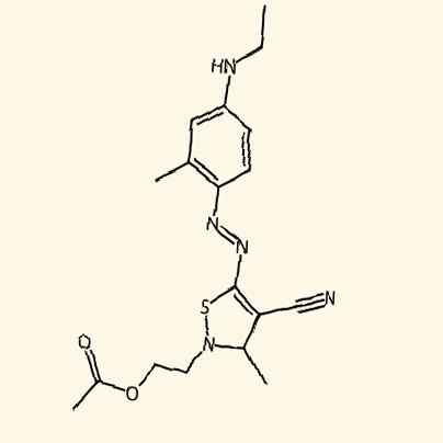 CCNc1ccc(N=NC2=C(C#N)C(C)N(CCOC(C)=O)S2)c(C)c1